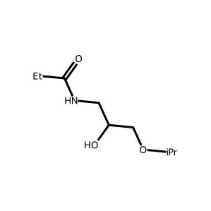 CCC(=O)NCC(O)COC(C)C